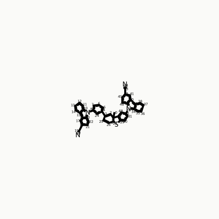 CC12C=C(c3cccc(-n4c5ccccc5c5cc(C#N)ccc54)c3)C=CC1Sc1ccc(-n3c4ccccc4c4cc(C#N)ccc43)cc12